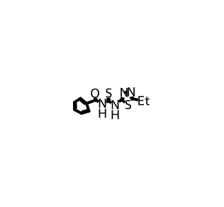 CCc1nnc(NC(=S)NC(=O)c2ccccc2)s1